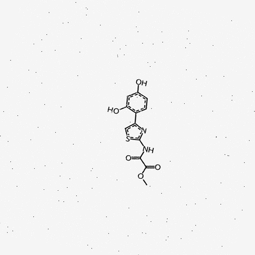 COC(=O)C(=O)Nc1nc(-c2ccc(O)cc2O)cs1